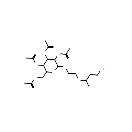 CC(=O)NC1C(OCCOC(C)CCN)OC(COC(C)=O)C(OC(C)=O)C1OC(C)=O